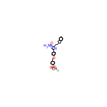 CS(=O)(=O)c1ccc(COc2ccc(-c3cn(C(N)=O)c(CCC4Cc5ccccc5C4)n3)cc2)cc1